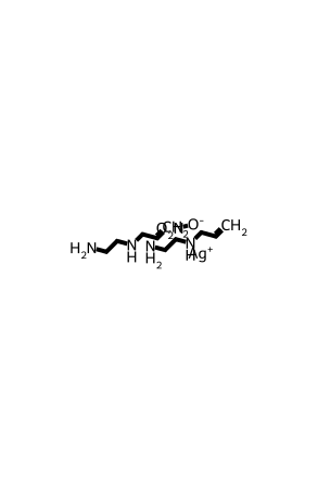 C=CCNCCN.C=CCNCCN.O=[N+]([O-])[O-].[Ag+]